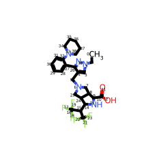 CCn1cc(CN2CC3C(C(=O)O)NC(C(C(F)(F)F)C(F)(F)F)C3C2)c(-c2ccccc2N2CCCCC2)n1